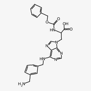 NCc1cccc(CNc2ncnc3c2ncn3CC(NC(=O)OCc2ccccc2)C(=O)O)c1